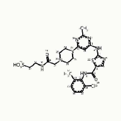 Cc1nc(Nc2ncc(C(=O)Nc3c(C)cccc3Cl)s2)cc(N2CCN(CC(=O)NCCS(=O)(=O)O)CC2)n1